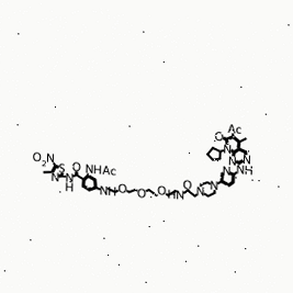 CC(=O)Nc1cc(NCCOCCOCCOCCNC(=O)CN2CCN(c3ccc(Nc4ncc5c(C)c(C(C)=O)c(=O)n(C6CCCC6)c5n4)nc3)CC2)ccc1C(=O)Nc1nc(C)c([N+](=O)[O-])s1